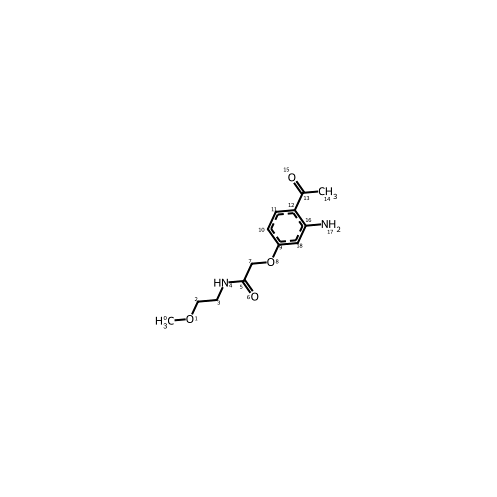 COCCNC(=O)COc1ccc(C(C)=O)c(N)c1